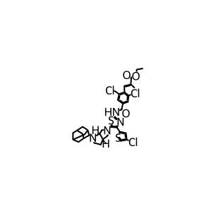 CCOC(=O)/C(C)=C/c1c(Cl)cc(C(=O)Nc2nc(-c3cc(Cl)cs3)c(N3C[C@@H]4CCN(C5C6CC7CC(C6)CC5C7)[C@@H]4C3)s2)cc1Cl